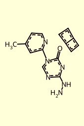 Cc1ccnc(-n2cnc(NN)nc2=O)c1.c1cc2ccc1-2